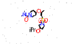 CC(C)OC1CCN(S(=O)(=O)CCC(C)OC2CCN(C(=O)N(C)C)CC2)C1